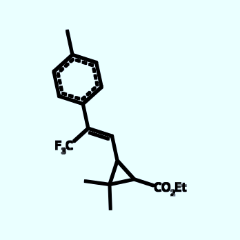 CCOC(=O)C1C(C=C(c2ccc(C)cc2)C(F)(F)F)C1(C)C